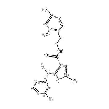 Cc1ccc(CCNC(=O)c2cc(C)[nH]c2[S+]([O-])c2cccc(C(F)(F)F)c2)c(C)c1